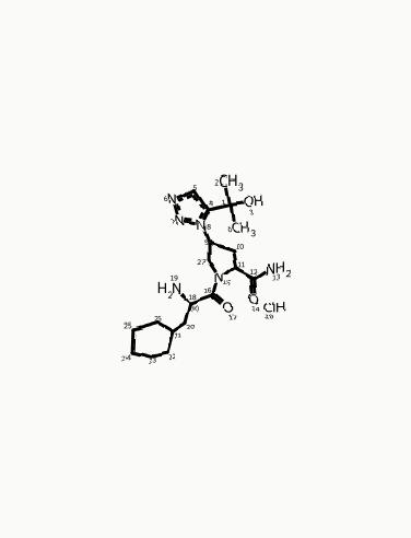 CC(C)(O)c1cnnn1C1CC(C(N)=O)N(C(=O)[C@H](N)CC2CCCCC2)C1.Cl